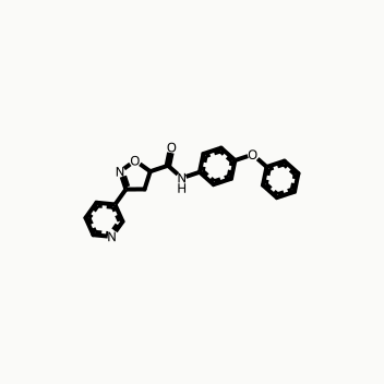 O=C(Nc1ccc(Oc2ccccc2)cc1)C1CC(c2cccnc2)=NO1